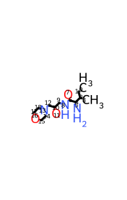 CCC(C)C(N)C(=O)NCC(=O)CN1CCOCC1